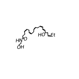 CC/C=C\C[C@H](O)/C=C/C=C\C/C=C\C/C=C\C/C=C\CCC(=O)NCCO